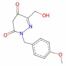 COc1ccc(CN2N=C(CO)C(=O)CC2=O)cc1